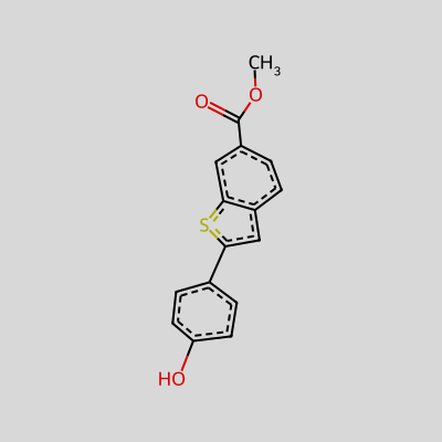 COC(=O)c1ccc2cc(-c3ccc(O)cc3)sc2c1